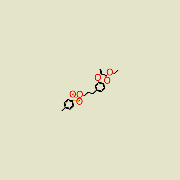 C=C(Oc1cccc(CCCOS(=O)(=O)c2ccc(C)cc2)c1)C(=O)OCC